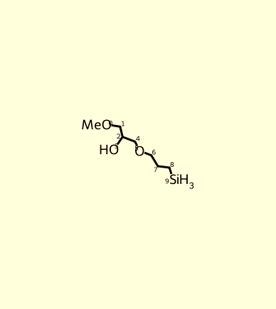 COCC(O)COCCC[SiH3]